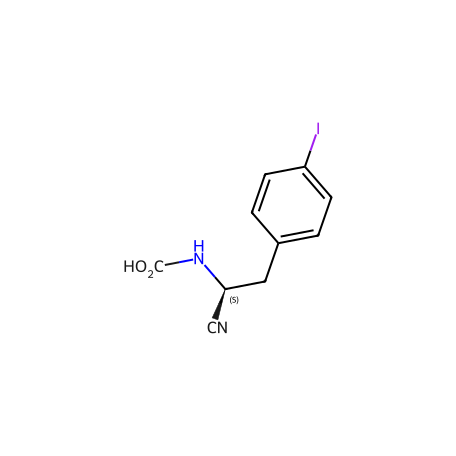 N#C[C@H](Cc1ccc(I)cc1)NC(=O)O